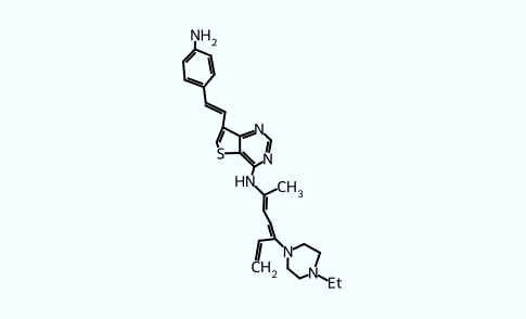 C=C/C(=C\C=C(/C)Nc1ncnc2c(/C=C/c3ccc(N)cc3)csc12)N1CCN(CC)CC1